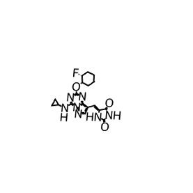 O=C1NC(=O)/C(=C/c2cnn3c(NC4CC4)nc(O[C@@H]4CCCC[C@H]4F)nc23)N1